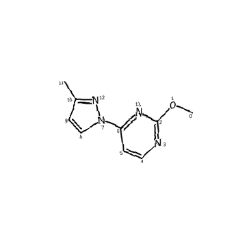 COc1nccc(-n2ccc(C)n2)n1